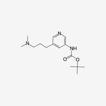 CN(C)CCCc1cncc(NC(=O)OC(C)(C)C)c1